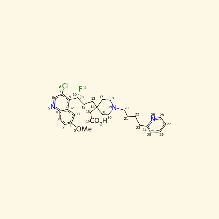 COc1ccc2ncc(Cl)c([C@H](F)CCC3(CC(=O)O)CCN(CCCCc4ccccn4)CC3)c2c1